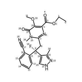 CCOC(=O)c1nc(C[C@](F)(c2ccccc2C#N)c2c[nH]nc2C)n(C)c(=O)c1OC